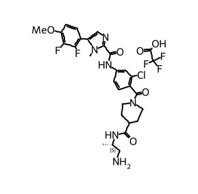 COc1ccc(-c2cnc(C(=O)Nc3ccc(C(=O)N4CCC(C(=O)N[C@@H](C)CN)CC4)c(Cl)c3)n2C)c(F)c1F.O=C(O)C(F)(F)F